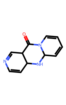 O=C1C2C=NC=CC2NC2C=CC=CN12